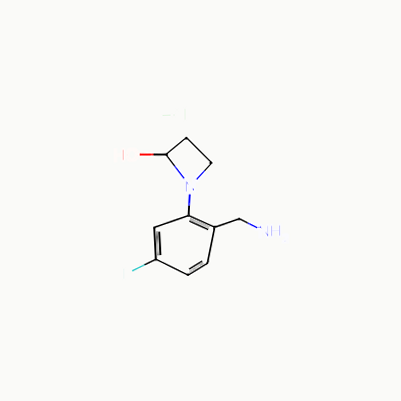 Cl.NCc1ccc(F)cc1N1CCC1O